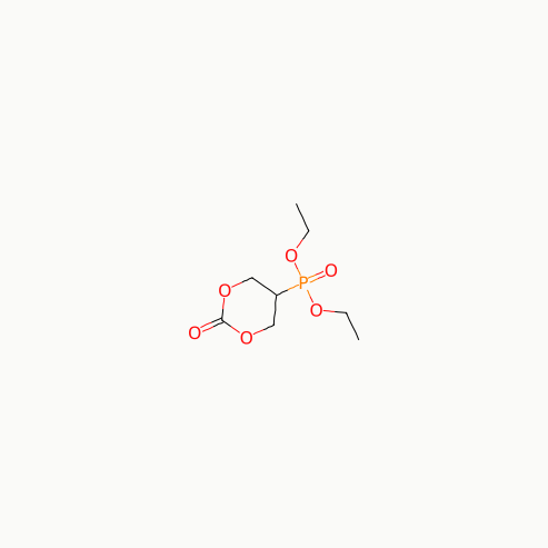 CCOP(=O)(OCC)C1COC(=O)OC1